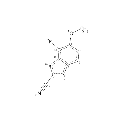 COc1ccc2nc(C#N)sc2c1F